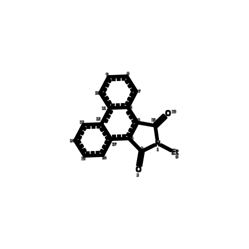 CCN1C(=O)c2c(c3ccccc3c3ccccc23)C1=O